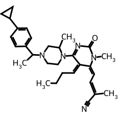 CCC\C=c1/c(N2CCN(C(C)c3ccc(C4CC4)cc3)CC2C)nc(=O)n(C)/c1=C/C=C(\C)C#N